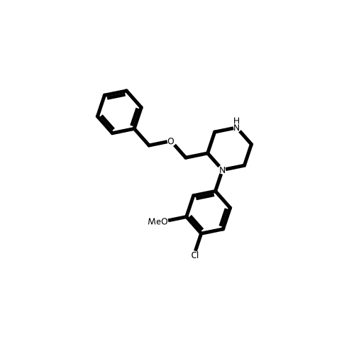 COc1cc(N2CCNCC2COCc2ccccc2)ccc1Cl